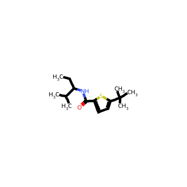 CCC(NC(=O)c1ccc(C(C)(C)C)s1)C(C)C